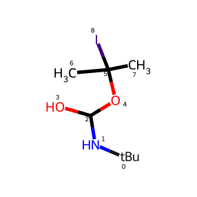 CC(C)(C)NC(O)OC(C)(C)I